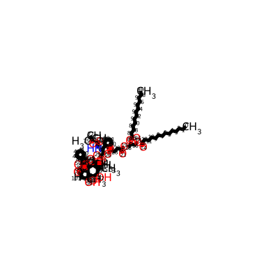 CCCCCCCCCCCCCC(=O)OCC(COC(=O)CCC(=O)O[C@@H](C(=O)O[C@H]1C[C@@]2(O)[C@@H](OC(=O)c3ccccc3)[C@@H]3[C@]4(OC(C)=O)CO[C@@H]4C[C@H](O)[C@@]3(C)C(=O)[C@H](O)C(=C1C)C2(C)C)[C@@H](NC(=O)OC(C)(C)C)c1ccccc1)OC(=O)CCCCCCCCCCCCC